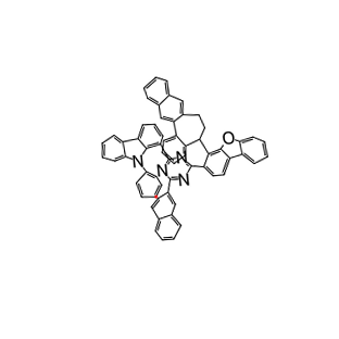 c1ccc(-n2c3ccccc3c3cccc(-c4nc(-c5ccc6ccccc6c5)nc(-c5ccc6c(oc7ccccc76)c5C5CCc6cc7ccccc7cc6-c6ccccc65)n4)c32)cc1